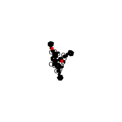 COc1cc(-c2c3n(c4c(=O)oc5cc(OC(=O)CCc6ccccc6)c(OC)cc5c24)CCc2cc(OC(=O)CCc4ccccc4)c(OC)cc2-3)ccc1OC(=O)CCc1ccccc1